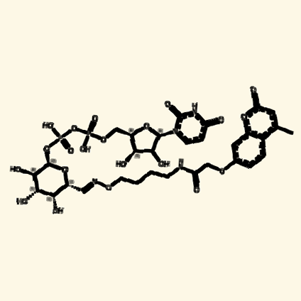 Cc1cc(=O)oc2cc(OCC(=O)NCCCCON=C[C@H]3O[C@H](OP(=O)(O)OP(=O)(O)OC[C@H]4O[C@@H](n5ccc(=O)[nH]c5=O)C(O)[C@H]4O)[C@H](O)[C@@H](O)[C@H]3O)ccc12